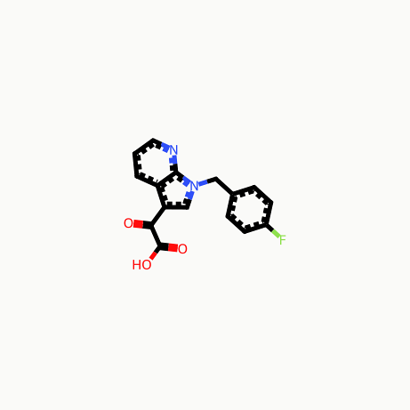 O=C(O)C(=O)c1cn(Cc2ccc(F)cc2)c2ncccc12